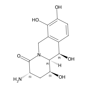 N[C@H]1C[C@H](O)[C@@H]2[C@H](O)c3ccc(O)c(O)c3CN2C1=O